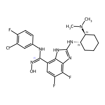 CN(C)[C@H]1CCCC[C@@H]1Nc1nc2c(F)c(F)cc(/C(=N\O)Nc3ccc(F)c(Cl)c3)c2[nH]1